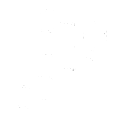 COc1ccccc1CN1C(C)=CC(c2ccccc2Cl)N=C1Nc1nc2ccccc2o1